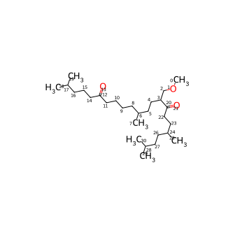 COCC(CCC(C)CCCCC(=O)CCCC(C)C)C(=O)CCC(C)CCC(C)C